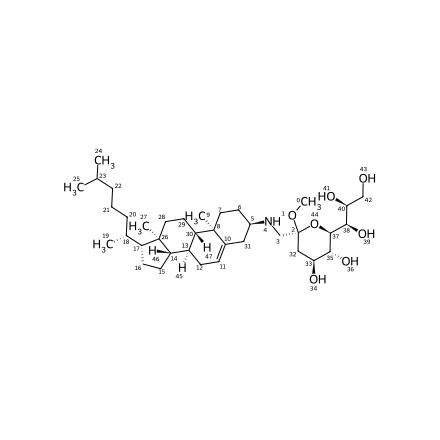 CO[C@]1(CN[C@@H]2CC[C@@]3(C)C(=CC[C@H]4[C@@H]5CC[C@H]([C@H](C)CCCC(C)C)[C@@]5(C)CC[C@@H]43)C2)C[C@H](O)[C@@H](O)[C@H]([C@H](O)[C@@H](O)CO)O1